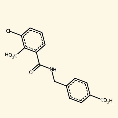 O=C(O)c1ccc(CNC(=O)c2cccc(Cl)c2C(=O)O)cc1